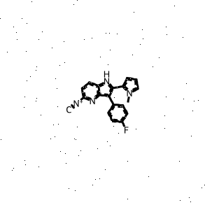 [C-]#[N+]c1ccc2[nH]c(-c3cccn3C)c(-c3ccc(F)cc3)c2n1